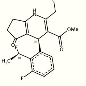 COC(=O)C1=C(CF)NC2=C(C(=O)CC2)[C@@H]1c1cccc(F)c1[C@@H](C)F